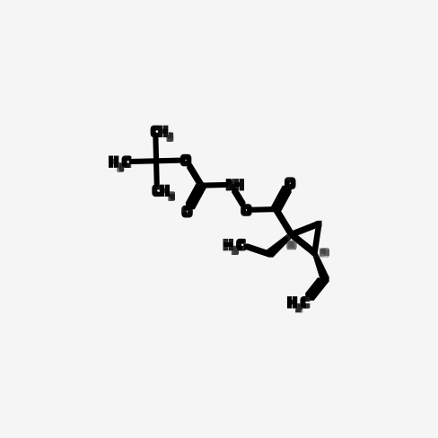 C=C[C@@H]1C[C@@]1(CC)C(=O)ONC(=O)OC(C)(C)C